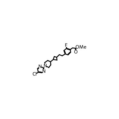 COC(=O)Cc1ccc(CCC2CC(C3CCN(c4ncc(Cl)cn4)CC3)C2)cc1F